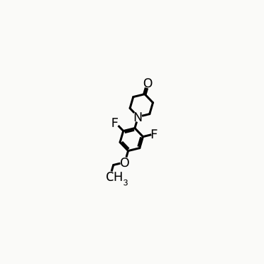 CCOc1cc(F)c(N2CCC(=O)CC2)c(F)c1